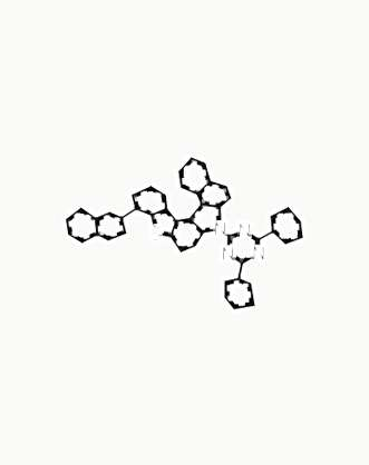 c1ccc(-c2nc(-c3ccccc3)nc(-n3c4ccc5ccccc5c4c4c5c(ccc43)sc3c(-c4ccc6ccccc6c4)cccc35)n2)cc1